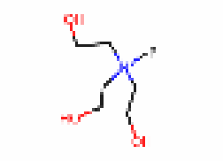 CC(C)[N+](CCO)(CCO)CCO